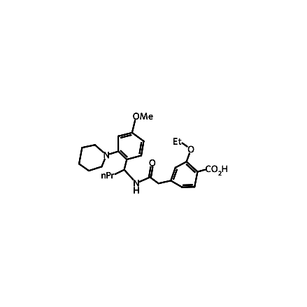 CCCC(NC(=O)Cc1ccc(C(=O)O)c(OCC)c1)c1ccc(OC)cc1N1CCCCC1